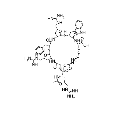 CC(=O)N[C@@H](CCCNC(=N)N)C(=O)N[C@H]1CC(=O)NCCCCC(C(=O)O)NC(=O)[C@H](Cc2c[nH]c3ccccc23)NC(=O)[C@H](CCCNC(=N)N)NC(=O)[C@@H](Cc2ccccc2)NC(=O)C(CCCNC(=N)N)NC1=O